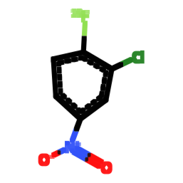 O=[N+]([O-])c1ccc([18F])c(Cl)c1